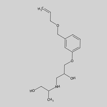 C=CCOCc1cccc(OCC(O)CNC(C)CO)c1